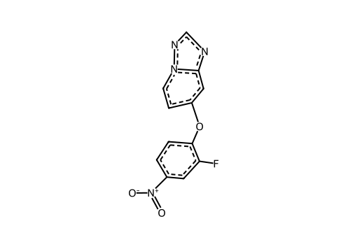 O=[N+]([O-])c1ccc(Oc2ccn3ncnc3c2)c(F)c1